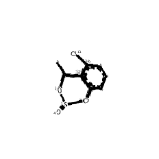 CC1OS(=O)Oc2cccc(Cl)c21